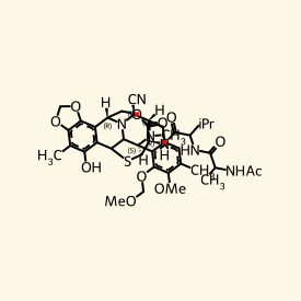 COCOc1c(OC)c(C)cc2c1[C@H]1C3C4SC[C@H](NC(=O)C(NC(=O)C(C)NC(C)=O)C(C)C)C(=O)OC[C@@H](c5c6c(c(C)c(O)c54)OCO6)N3[C@@H](C#N)[C@H](C2)N1C